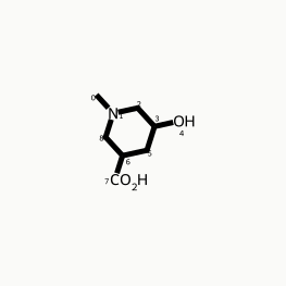 CN1CC(O)CC(C(=O)O)C1